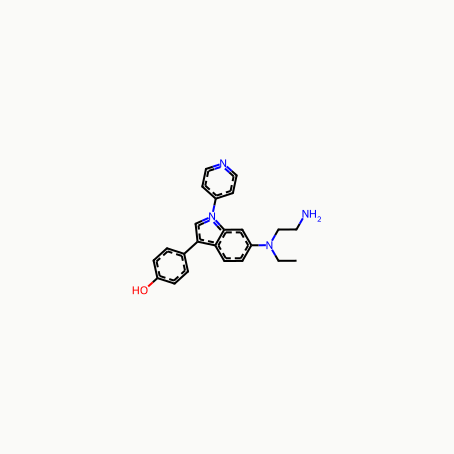 CCN(CCN)c1ccc2c(-c3ccc(O)cc3)cn(-c3ccncc3)c2c1